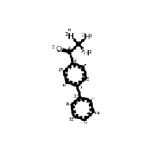 [2H]C([2H])([2H])C(=O)c1ccc(-c2ccccc2)cc1